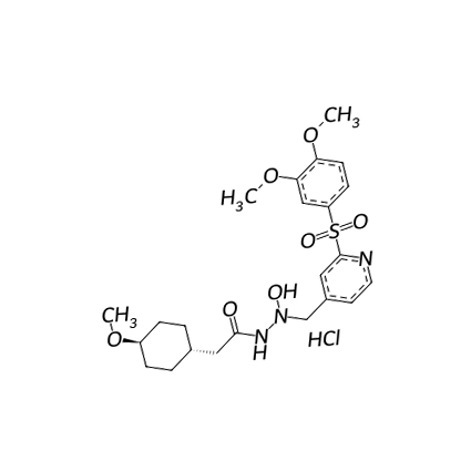 COc1ccc(S(=O)(=O)c2cc(CN(O)NC(=O)C[C@H]3CC[C@H](OC)CC3)ccn2)cc1OC.Cl